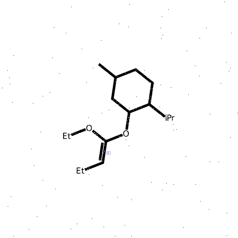 CC/C=C(\OCC)OC1CC(C)CCC1C(C)C